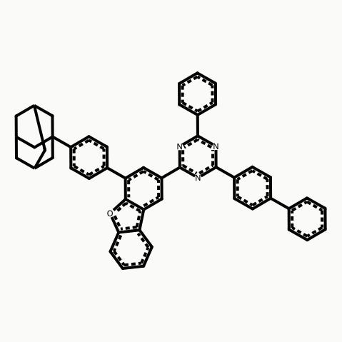 c1ccc(-c2ccc(-c3nc(-c4ccccc4)nc(-c4cc(-c5ccc(C67CC8CC(CC(C8)C6)C7)cc5)c5oc6ccccc6c5c4)n3)cc2)cc1